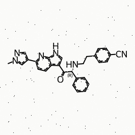 Cn1cc(-c2ccc3c(C(=O)[C@H](NCCc4ccc(C#N)cc4)c4ccccc4)c[nH]c3n2)cn1